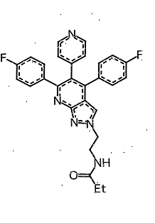 CCC(=O)NCCn1cc2c(-c3ccc(F)cc3)c(-c3ccncc3)c(-c3ccc(F)cc3)nc2n1